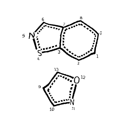 c1ccc2sncc2c1.c1cnoc1